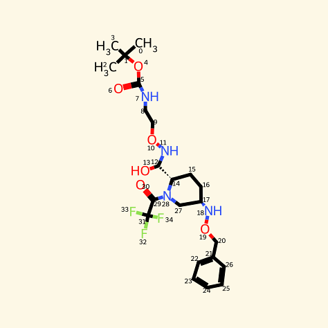 CC(C)(C)OC(=O)NCCONC(O)[C@@H]1CC[C@@H](NOCc2ccccc2)CN1C(=O)C(F)(F)F